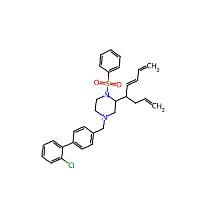 C=CC=CC(CC=C)C1CN(Cc2ccc(-c3ccccc3Cl)cc2)CCN1S(=O)(=O)c1ccccc1